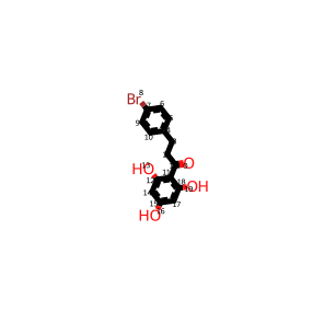 O=C(CCc1ccc(Br)cc1)c1c(O)cc(O)cc1O